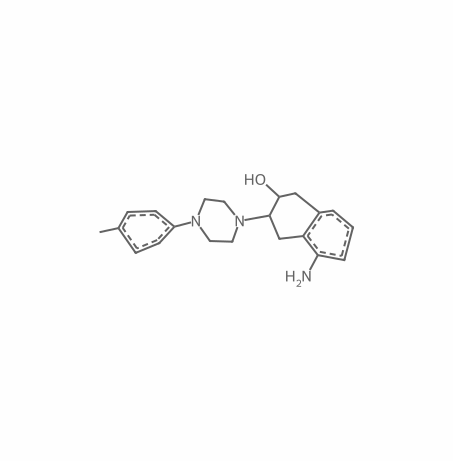 Cc1ccc(N2CCN(C3Cc4c(N)cccc4CC3O)CC2)cc1